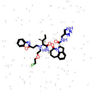 CC[C@H](C)[C@@H](C(=O)N[C@H]1CCc2cccc3c2N(C1=O)[C@H](C(=O)NCc1c[nH]nn1)C3)N(CCOCCF)CCc1nc2ccccc2o1